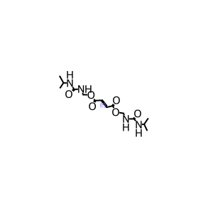 CC(C)NC(=O)NCOC(=O)/C=C/C(=O)OCNC(=O)NC(C)C